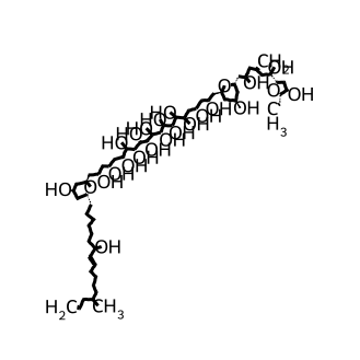 C=CCC(C)CCCC/C=C/C(O)CCCCCC[C@@H]1C[C@@H](O)C[C@@H](CC(O)CC(O)CC(O)C(O)C(O)C(O)C(O)C(O)C(O)C(O)C(O)C(O)C(O)CC(O)CC(O)C[C@@H]2C[C@H](O)C[C@@H](CC(O)CC(=C)CC(O)[C@@H]3C[C@@H](O)[C@H](CC)O3)O2)O1